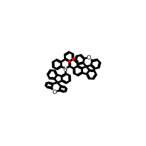 c1ccc(-c2ccccc2N(c2cccc3c2-c2ccccc2C32c3ccccc3Oc3ccccc32)c2cccc3c4c(ccc23)-c2ccccc2C42c3ccccc3Oc3ccccc32)cc1